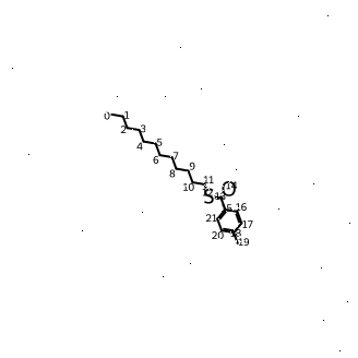 CCCCCCCCCCCCSC(=O)c1ccc(C)cc1